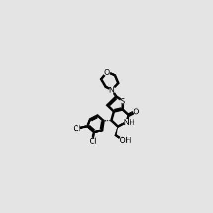 O=C1N[C@@H](CO)[C@H](c2ccc(Cl)c(Cl)c2)c2cc(N3CCOCC3)sc21